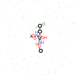 CC(C)(C)OC(=O)N[C@H](Cc1ccc(-c2cc(Cl)ccc2F)cc1)C[C@@](C)(CNC(=O)OCc1ccccc1)C(=O)O